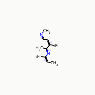 C\C=C(/N=C(C)/C(=C\C=N/C)C(C)C)C(C)C